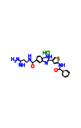 Cl.N=C(N)CCNC(=O)c1ccc2[nH]c(-c3csc(NC(=O)c4ccccc4)c3)nc2c1